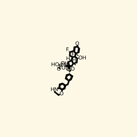 C[C@]12C=CC(=O)C=C1[C@@H](F)C[C@H]1[C@@H]3C[C@H]4O[C@@H](c5ccc(Cc6ccc7c(c6)OCCN7)cc5)O[C@@]4(C(=O)COP(=O)(O)O)[C@@]3(C)C[C@H](O)[C@@]12F